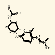 CCN(C)C=Nc1ccc(O[C@H]2CC[C@@H](OC(F)F)CC2)nc1C